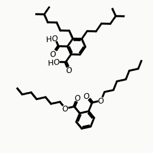 CC(C)CCCCc1ccc(C(=O)O)c(C(=O)O)c1CCCCC(C)C.CCCCCCCOC(=O)c1ccccc1C(=O)OCCCCCCC